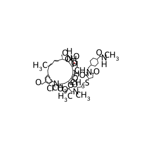 CNC(=O)C1CCC(CN2C(=O)CC(SCCC(=O)N(C)[C@@H](C)C(=O)O[C@H]3CC(=O)N(C)c4cc(cc(C=O)c4Cl)C/C(C)=C/C=C/[C@@H](C=O)[C@@]4(O)C[C@H](OC(=O)N4)[C@@H](C)[C@@H]4O[C@@]34C)C2=O)CC1